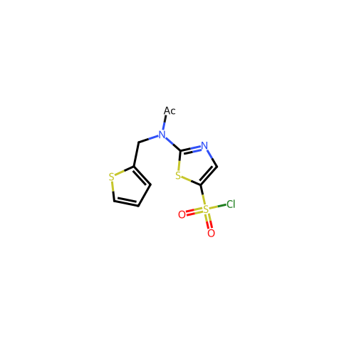 CC(=O)N(Cc1cccs1)c1ncc(S(=O)(=O)Cl)s1